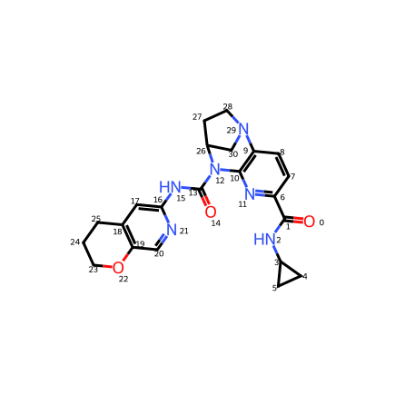 O=C(NC1CC1)c1ccc2c(n1)N(C(=O)Nc1cc3c(cn1)OCCC3)C1CCN2C1